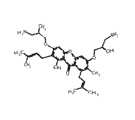 CC(C)=CCc1c(OCC(C)CN)cc2oc3cc(OCC(O)CN)c(C)c(CC=C(C)C)c3c(=O)c2c1O